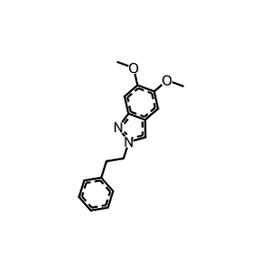 COc1cc2cn(CCc3ccccc3)nc2cc1OC